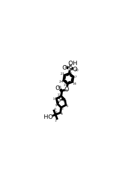 CC(C)(O)CC1CC2SC1CC2C(=O)Oc1ccc(S(=O)(=O)O)cc1